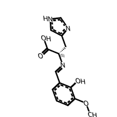 COc1cccc(C=N[C@@H](Cc2c[nH]cn2)C(=O)O)c1O